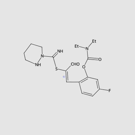 CCN(CC)C(=O)Oc1cc(F)ccc1/C=C(\C=O)SC(=N)N1CCCCN1